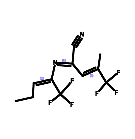 CC/C=C(/N=C(C#N)\C=C(/C)C(F)(F)F)C(F)(F)F